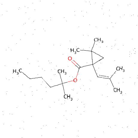 CCCCC(C)(C)OC(=O)C1(C=C(C)C)CC1(C)C